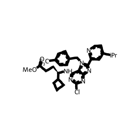 COC(=O)CC[C@@H](Nc1nc(Cl)nc2nc(-c3cc(C(C)C)ccn3)n(Cc3ccc(C(F)(F)F)cc3)c12)C1CCC1